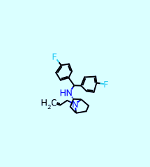 C=CCN1C2CCC1[C@@H](NC(c1ccc(F)cc1)c1ccc(F)cc1)C2